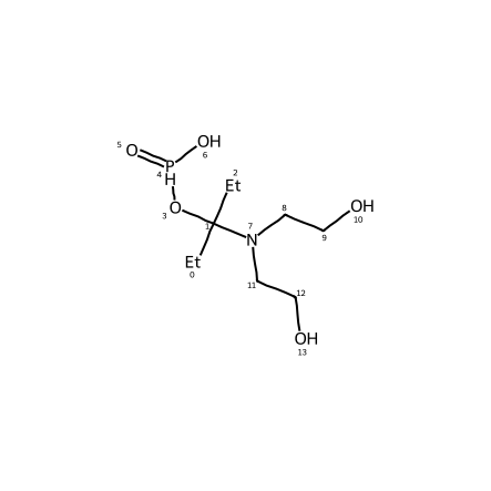 CCC(CC)(O[PH](=O)O)N(CCO)CCO